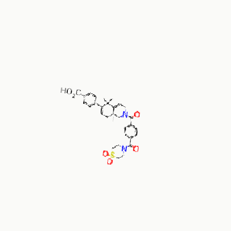 CC1(C)C(c2ccc(C(=O)O)cc2)=CC[C@]2(C)CN(C(=O)c3ccc(C(=O)N4CCS(=O)(=O)CC4)cc3)CC=C12